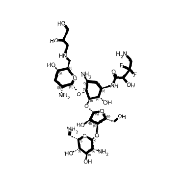 NC[C@@H]1O[C@H](O[C@H]2[C@@H](O)[C@H](O[C@@H]3[C@@H](O)[C@H](NC(=O)C(O)C(F)(F)CN)C[C@H](N)[C@H]3O[C@H]3O[C@H](CNCC(O)CO)[C@@H](O)C[C@H]3N)O[C@@H]2CO)[C@H](N)[C@@H](O)[C@@H]1O